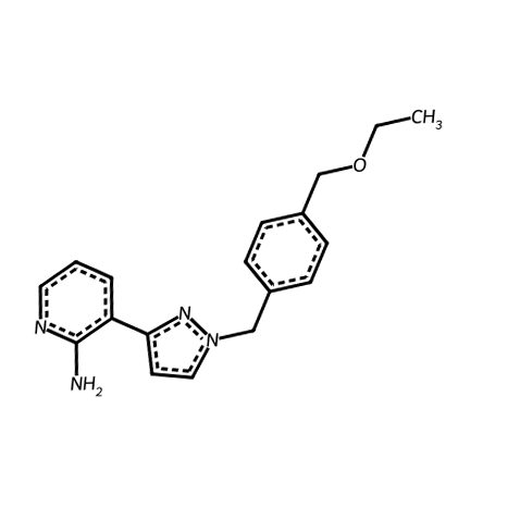 CCOCc1ccc(Cn2ccc(-c3cccnc3N)n2)cc1